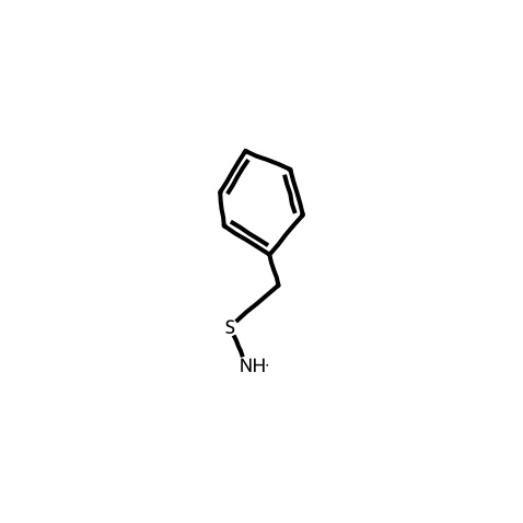 [NH]SCc1ccccc1